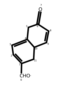 O=[C]C1=CC=C2CC(=O)C=CC2C1